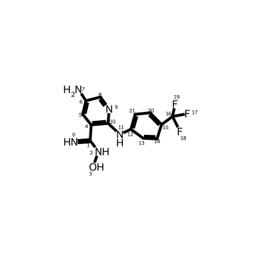 N=C(NO)c1cc(N)cnc1Nc1ccc(C(F)(F)F)cc1